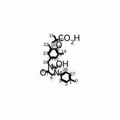 Cc1ccc(N2CC(=O)N(Cc3cc(C)c(OC(C)(C)C(=O)O)c(C)c3)C2O)cc1